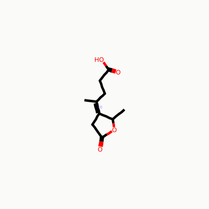 C/C(CCC(=O)O)=C1\CC(=O)OC1C